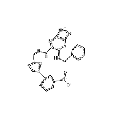 O=[N+]([O-])c1cccc(-c2ccc(/C=N\Nc3nc4nonc4nc3NCc3ccccc3)o2)c1